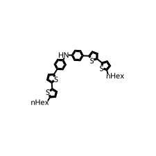 CCCCCCc1ccc(-c2ccc(-c3ccc(Nc4ccc(-c5ccc(-c6ccc(CCCCCC)s6)s5)cc4)cc3)s2)s1